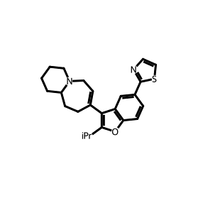 CC(C)c1oc2ccc(-c3nccs3)cc2c1C1=CCN2CCCCC2CC1